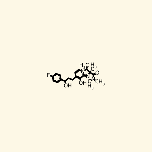 CC1N2C=CC(CCC(O)c3ccc(F)cc3)=C(O)C2=NC1(C)C(=O)N(C)C